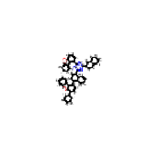 C1=Cc2c(-c3nc(-c4ccc5ccccc5c4)nc(-c4cccc5oc6ccccc6c45)n3)ccc(-c3ccc(-c4ccccc4)c4oc5ccccc5c34)c2CC1